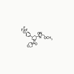 COCc1noc(C2CC(c3ccc(OC(F)(F)F)cc3)CN(C(=O)N3CCOCC3)C2)n1